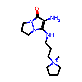 C[N+]1(CCCNc2c(N)c(=O)n3n2CCC3)CCCC1